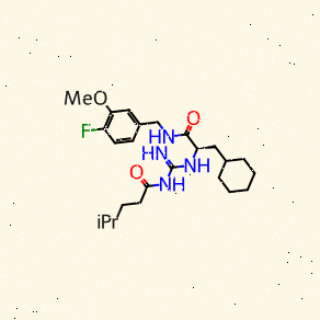 COc1cc(CNC(=O)[C@@H](CC2CCCCC2)NC(=N)NC(=O)CCC(C)C)ccc1F